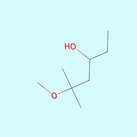 CCC(O)CC(C)(C)OC